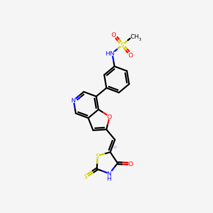 CS(=O)(=O)Nc1cccc(-c2cncc3cc(/C=C4\SC(=S)NC4=O)oc23)c1